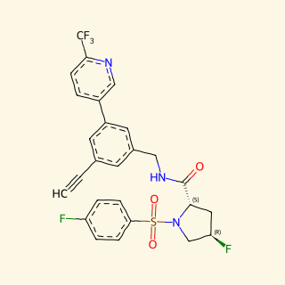 C#Cc1cc(CNC(=O)[C@@H]2C[C@@H](F)CN2S(=O)(=O)c2ccc(F)cc2)cc(-c2ccc(C(F)(F)F)nc2)c1